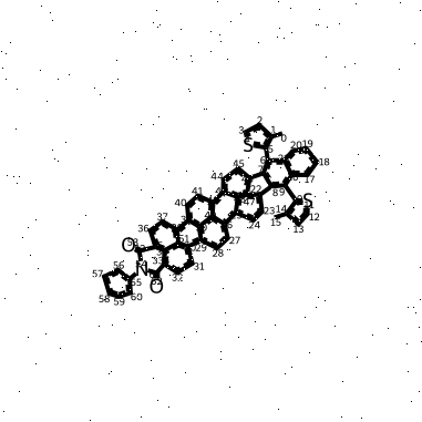 Cc1ccsc1-c1c2c(c(-c3sccc3C)c3ccccc13)-c1ccc3c4ccc5c6ccc7c8c(ccc(c9ccc(c%10ccc-2c1c%103)c4c95)c86)C(=O)N(c1ccccc1)C7=O